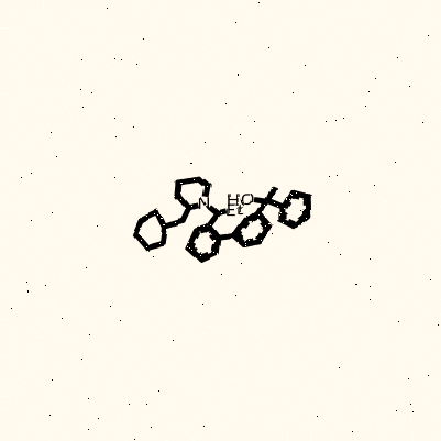 CCC(c1ccccc1-c1cccc(C(C)(O)c2ccccc2)c1)N1CCCCC1CC1CCCCC1